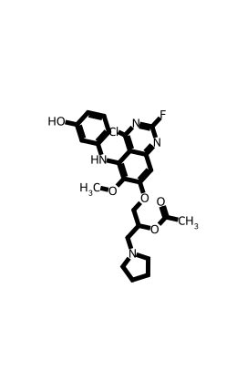 COc1c(OCC(CN2CCCC2)OC(C)=O)cc2nc(F)nc(Cl)c2c1Nc1cccc(O)c1